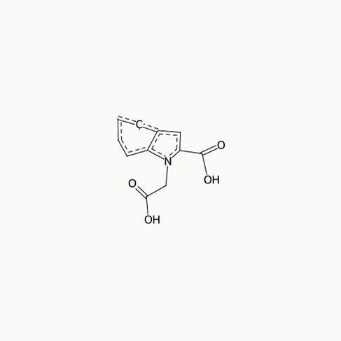 O=C(O)Cn1c(C(=O)O)cc2[c]cccc21